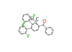 Cc1c(C(=O)c2ccccc2)ccc(-c2c(F)cccc2F)c1-c1c(F)cccc1F